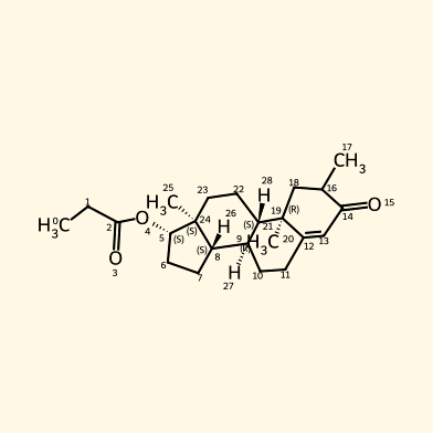 CCC(=O)O[C@H]1CC[C@H]2[C@@H]3CCC4=CC(=O)C(C)C[C@]4(C)[C@H]3CC[C@]12C